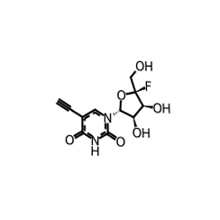 C#Cc1cn([C@@H]2O[C@](F)(CO)[C@@H](O)[C@H]2O)c(=O)[nH]c1=O